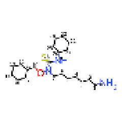 NCCCCCCCN(OCC1CCCCC1)C(=S)NC1CCCCC1